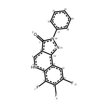 O=c1c2c[nH]c3c(F)c(F)c(F)cc3c-2nn1-c1ccccc1